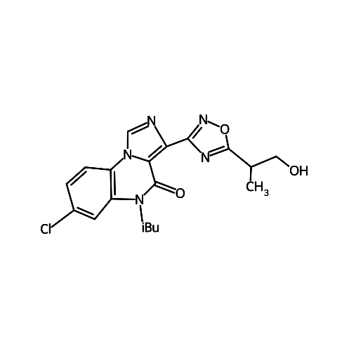 CCC(C)n1c(=O)c2c(-c3noc(C(C)CO)n3)ncn2c2ccc(Cl)cc21